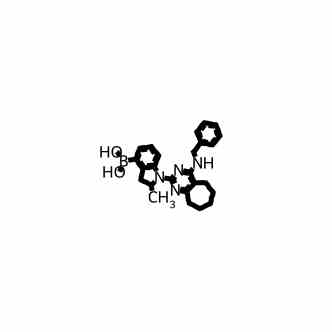 CC1Cc2c(B(O)O)cccc2N1c1nc2c(c(NCc3ccccc3)n1)CCCCC2